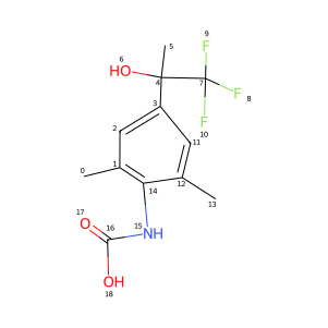 Cc1cc(C(C)(O)C(F)(F)F)cc(C)c1NC(=O)O